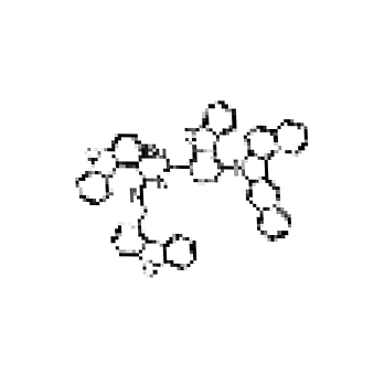 CCC(C)/C(=N\C(=N/Cc1cccc2oc3ccccc3c12)c1cccc2oc3ccccc3c12)c1ccc(-n2c3cc4ccccc4cc3c3c4ccccc4ccc32)c2c1oc1ccccc12